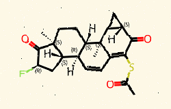 CC(=O)SC1=C2C=C[C@H]3[C@@H]4C[C@@H](F)C(=O)[C@@]4(C)CC[C@@H]3[C@@]2(C)C2C[C@@H]2C1=O